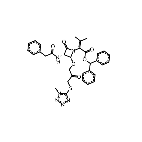 CC(C)=C(C(=O)OC(c1ccccc1)c1ccccc1)N1C(=O)[C@@H](NC(=O)Cc2ccccc2)[C@@H]1OCC(=O)CSc1nnnn1C